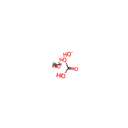 O=C(O)O.[OH-].[OH-].[Pb+2]